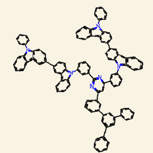 c1ccc(-c2cc(-c3ccccc3)cc(-c3cccc(-c4cc(-c5cccc(-n6c7ccccc7c7cc(-c8ccc9c(c8)c8ccccc8n9-c8ccccc8)ccc76)c5)nc(-c5cccc(-n6c7ccccc7c7cc(-c8ccc9c(c8)c8ccccc8n9-c8ccccc8)ccc76)c5)n4)c3)c2)cc1